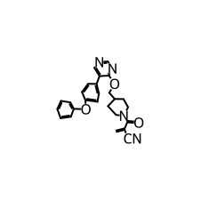 C=C(C#N)C(=O)N1CCC(COc2ncncc2-c2ccc(Oc3ccccc3)cc2)CC1